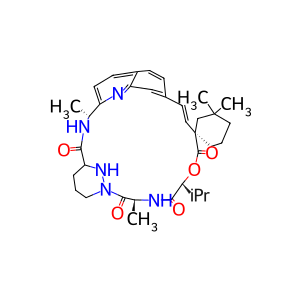 CC(C)[C@@H]1OC(=O)[C@]2(/C=C/c3ccc4ccc(nc4c3)[C@@H](C)NC(=O)C3CCCN(N3)C(=O)[C@H](C)NC1=O)CCCC(C)(C)C2